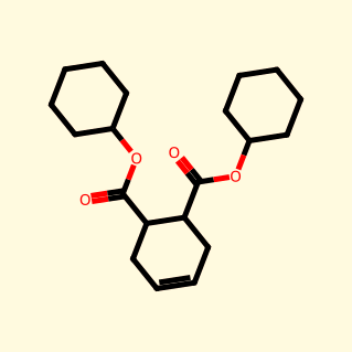 O=C(OC1CCCCC1)C1CC=CCC1C(=O)OC1CCCCC1